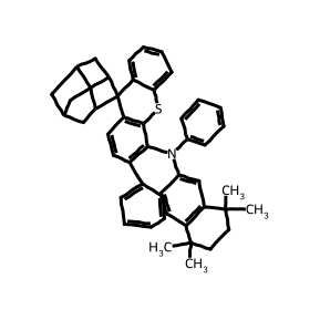 CC1(C)CCC(C)(C)c2cc(N(c3ccccc3)c3c(-c4ccccc4)ccc4c3Sc3ccccc3C43C4CC5CC6CC3C64C5)ccc21